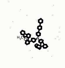 CC1(C)c2ccccc2-c2cccc(-c3ccccc3-c3ccc(N(c4ccc(-c5ccc(-c6ccccc6)cc5)cc4)c4ccc5c(c4)C4(c6ccccc6-5)C5CC6CC(C5)CC4C6)cc3)c21